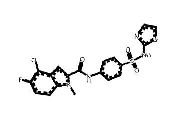 Cn1c(C(=O)Nc2ccc(S(=O)(=O)Nc3nccs3)cc2)cc2c(Cl)c(F)ccc21